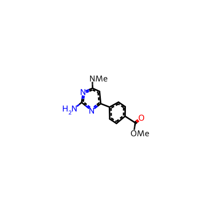 CNc1cc(-c2ccc(C(=O)OC)cc2)nc(N)n1